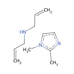 C=CCNCC=C.Cc1nccn1C